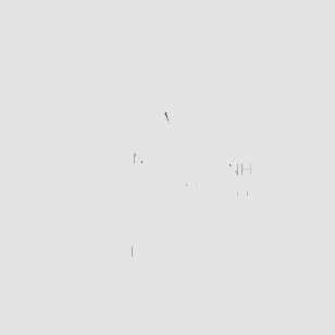 O=C(NO)C1c2ccccc2CC[C@]12CCN(Cc1cccc(F)c1)C2=O